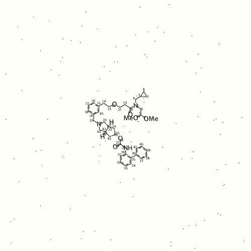 COC(CN(CC1CC1)C(=O)CCOCCc1cccc(CN2C[C@H]3C[C@H](OC(=O)Nc4ccccc4-c4ccccc4)C[C@H]3C2)c1)OC